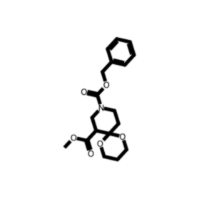 COC(=O)C1CN(C(=O)OCc2ccccc2)CCC12OCCCO2